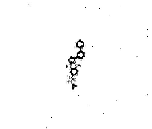 COc1ccc(S(=O)(=O)NC2CC2)cc1Nc1ncc(-c2cccc(-c3ccccc3)c2)o1